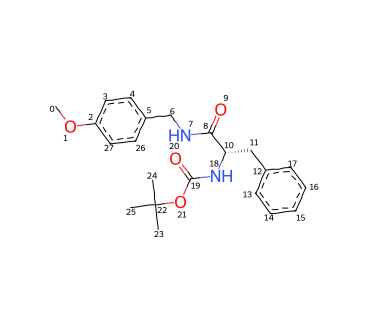 COc1ccc(CNC(=O)[C@H](Cc2ccccc2)NC(=O)OC(C)(C)C)cc1